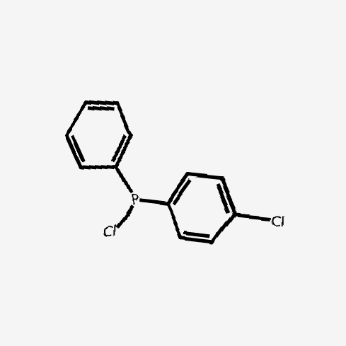 Clc1ccc(P(Cl)c2ccccc2)cc1